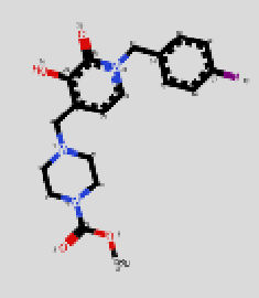 CC(C)(C)OC(=O)N1CCN(Cc2ccn(Cc3ccc(I)cc3)c(=O)c2O)CC1